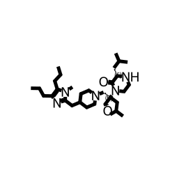 CCCc1nc(CC2CCN(C[C@@](C=O)(CC(C)C)N3CCN[C@@H](CC(C)C)C3=O)CC2)n(C)c1CCC